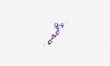 N#CCC1(CNc2cc(Br)cc(F)c2NC(=O)CN2CCC(Oc3cccc(COc4ccc(C#N)cc4F)n3)CC2)CC1